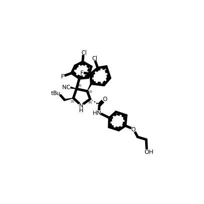 CC(C)(C)C[C@@H]1N[C@@H](C(=O)Nc2ccc(OCCO)cc2)[C@H](c2cccc(Cl)c2F)[C@@]1(C#N)c1ccc(Cl)cc1F